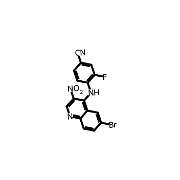 N#Cc1ccc(Nc2c([N+](=O)[O-])cnc3ccc(Br)cc23)c(F)c1